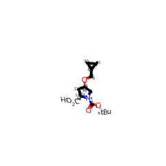 CC(C)(C)OC(=O)N1C[C@H](OCC2CC2)C[C@H]1C(=O)O